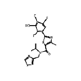 Cc1nc(-c2cc(F)c(F)c(O)c2F)sc1C(=O)N(Cc1cscn1)C(C)C